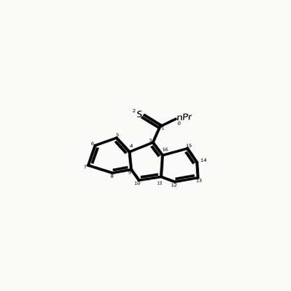 CCCC(=S)c1c2ccccc2cc2ccccc12